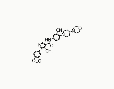 Cc1c(C(=O)Nc2ccc(N3CCC(N4CCOCC4)CC3)c(C#N)c2)cnn1-c1ccc2c(c1)OCO2